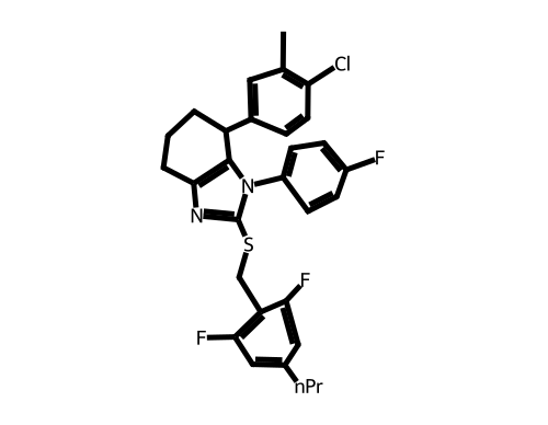 CCCc1cc(F)c(CSc2nc3c(n2-c2ccc(F)cc2)C(c2ccc(Cl)c(C)c2)CCC3)c(F)c1